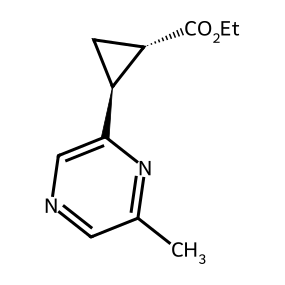 CCOC(=O)[C@H]1C[C@@H]1c1cncc(C)n1